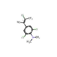 CN(C)c1c(Cl)cc(/C(C#N)=C(/Cl)C(F)(F)F)cc1Cl